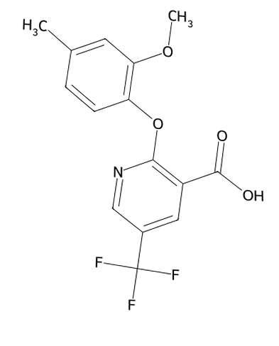 COc1cc(C)ccc1Oc1ncc(C(F)(F)F)cc1C(=O)O